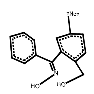 CCCCCCCCCc1ccc(CO)c(C(=NO)c2ccccc2)c1